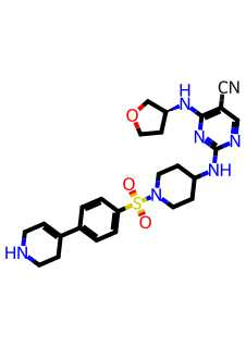 N#Cc1cnc(NC2CCN(S(=O)(=O)c3ccc(C4=CCNCC4)cc3)CC2)nc1N[C@H]1CCOC1